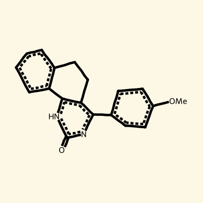 COc1ccc(-c2nc(=O)[nH]c3c2CCc2ccccc2-3)cc1